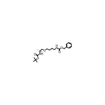 C[C@H](COCCCCNC(=O)OCc1ccccc1)NC(=O)OC(C)(C)C